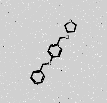 C1CCOC1.ClCc1ccc(OCc2ccccc2)cc1